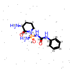 N[C@H]1CCCN(P(N)(=O)NC(=O)Nc2ccccc2)C1=O